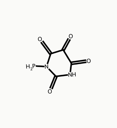 O=C1NC(=O)N(P)C(=O)C1=O